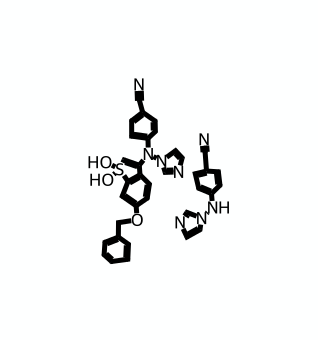 N#Cc1ccc(N(C2=CS(O)(O)c3cc(OCc4ccccc4)ccc32)n2ccnc2)cc1.N#Cc1ccc(Nn2ccnc2)cc1